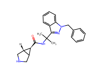 CC(C)(NC(=O)[C@H]1C2CNC[C@@H]21)c1nn(Cc2ccccc2)c2ccccc12